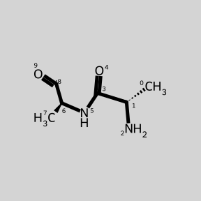 C[C@H](N)C(=O)N[C@@H](C)[C]=O